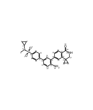 CN(C1CC1)S(=O)(=O)c1ccc(-c2cnc(N)c(-c3ccc4c(c3)C3(CC3)CNC4=O)n2)cc1